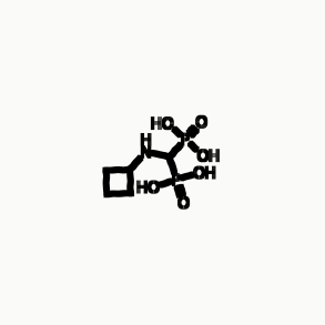 O=P(O)(O)C(NC1CCC1)P(=O)(O)O